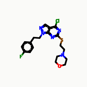 Fc1ccc(CCn2ncc3c(Cl)nc(SCCN4CCOCC4)nc32)cc1